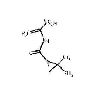 C=C(NC(=O)C1CC1(C)C)C(=O)O